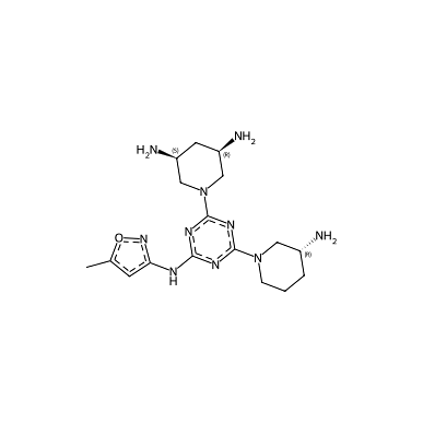 Cc1cc(Nc2nc(N3CCC[C@@H](N)C3)nc(N3C[C@H](N)C[C@H](N)C3)n2)no1